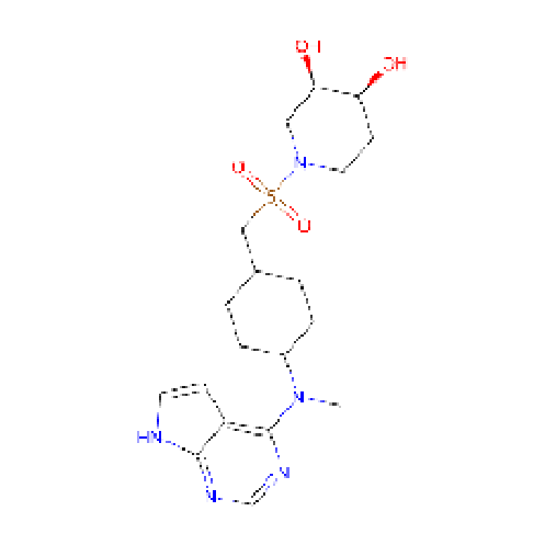 CN(c1ncnc2[nH]ccc12)C1CCC(CS(=O)(=O)N2CC[C@H](O)[C@H](O)C2)CC1